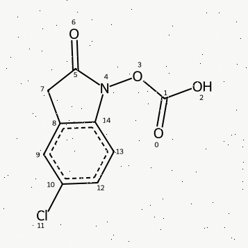 O=C(O)ON1C(=O)Cc2cc(Cl)ccc21